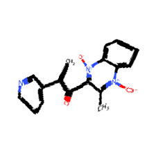 C=C(C(=O)c1c(C)[n+]([O-])c2ccccc2[n+]1[O-])c1cccnc1